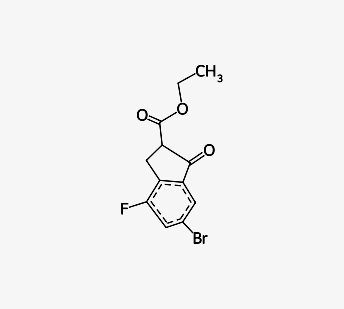 CCOC(=O)C1Cc2c(F)cc(Br)cc2C1=O